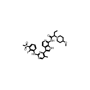 CCC(C(=O)Nc1nccc2c(-c3nc(Nc4cccc(S(C)(=O)=O)c4F)ncc3C)c[nH]c12)N1CCC(OC)CC1